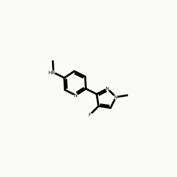 CBc1ccc(-c2nn(C)cc2F)nc1